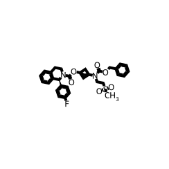 CS(=O)(=O)CCN(C(=O)OCc1ccccc1)C12CC(OC(=O)N3CCc4ccccc4[C@@H]3c3ccc(F)cc3)(C1)C2